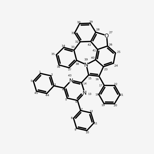 c1ccc(-c2cc(-c3ccccc3)nc(-c3c(-c4ccccc4)c4ccc5oc6cccc7c8ccccc8n3c4c5c67)n2)cc1